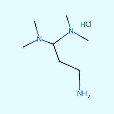 CN(C)C(CCN)N(C)C.Cl